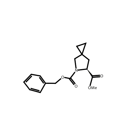 COC(=O)[C@@H]1CC2(CC2)CN1C(=O)OCc1ccccc1